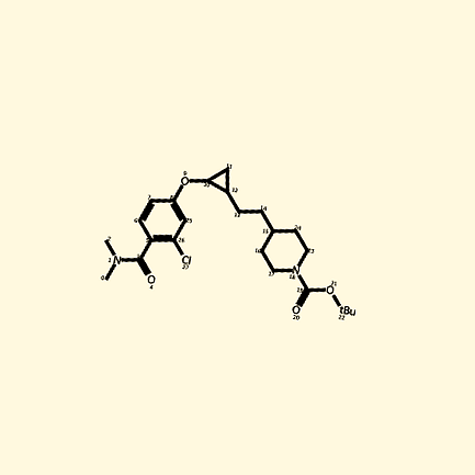 CN(C)C(=O)c1ccc(OC2CC2CCC2CCN(C(=O)OC(C)(C)C)CC2)cc1Cl